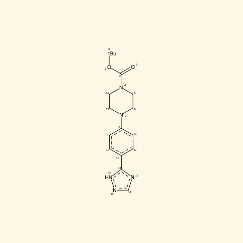 CC(C)(C)OC(=O)N1CCN(c2ccc(-c3ncn[nH]3)cc2)CC1